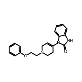 O=c1[nH]c2ccccc2n1C1=CCN(CCOc2ccccc2)CC1